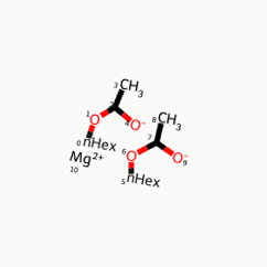 CCCCCCOC(C)[O-].CCCCCCOC(C)[O-].[Mg+2]